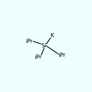 CC(C)[Si]([K])(C(C)C)C(C)C